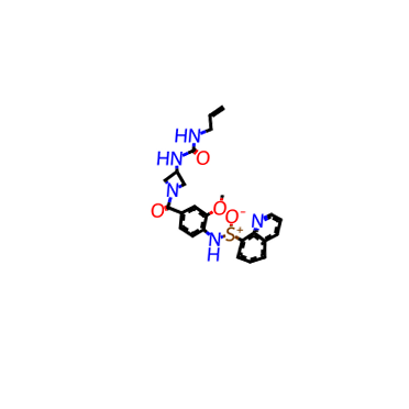 C=CCNC(=O)NC1CN(C(=O)c2ccc(N[S+]([O-])c3cccc4cccnc34)c(OC)c2)C1